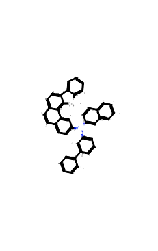 c1ccc(-c2cccc(N(c3ccc4ccccc4c3)c3ccc4ccc5ccc6c7ccccc7[se]c6c5c4c3)c2)cc1